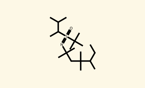 CCC(C)C(C)(C)CC(C)(C)N=S(=O)(C(C)C(C)C)C(C)(C)C